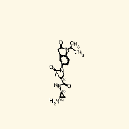 CC(C)N1C(=O)Cc2cc(N3C[C@@H](C(=O)N[C@H]4C[C@@H]4N)OC3=O)ccc21